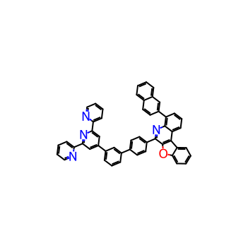 c1ccc(-c2cc(-c3cccc(-c4ccc(-c5nc6c(-c7ccc8ccccc8c7)cccc6c6c5oc5ccccc56)cc4)c3)cc(-c3ccccn3)n2)nc1